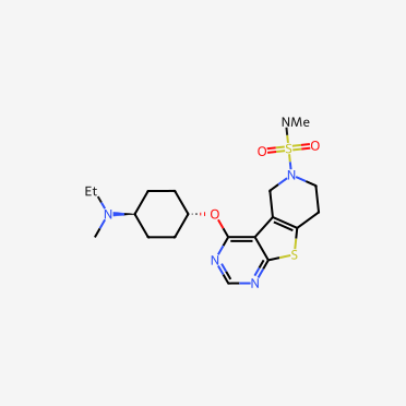 CCN(C)[C@H]1CC[C@H](Oc2ncnc3sc4c(c23)CN(S(=O)(=O)NC)CC4)CC1